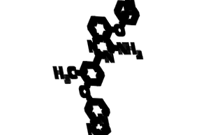 Cc1cc(-c2nc(N)c3c(OC45CCN(CC4)CC5)cccc3n2)ccc1Oc1ccn2ccnc2c1